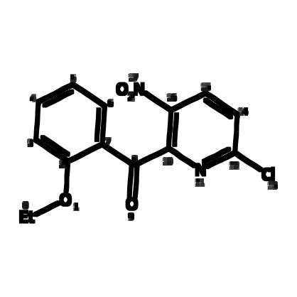 CCOc1ccccc1C(=O)c1nc(Cl)ccc1[N+](=O)[O-]